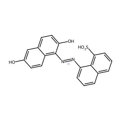 O=S(=O)(O)c1cccc2cccc(/N=N/c3c(O)ccc4cc(O)ccc34)c12